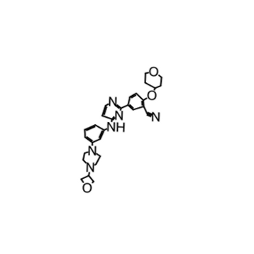 N#Cc1cc(-c2nccc(Nc3cccc(N4CCN(C5COC5)CC4)c3)n2)ccc1OC1CCOCC1